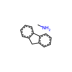 CN.c1ccc2c(c1)Cc1ccccc1-2